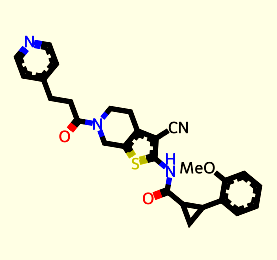 COc1ccccc1C1CC1C(=O)Nc1sc2c(c1C#N)CCN(C(=O)CCc1ccncc1)C2